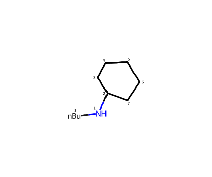 CCCCN[C]1CCCCC1